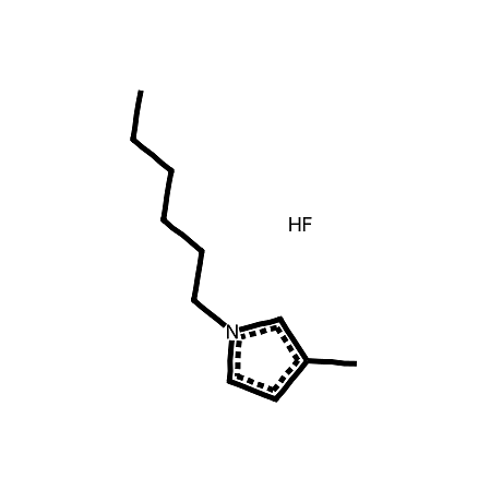 CCCCCCn1ccc(C)c1.F